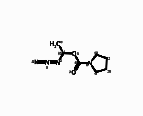 C[C@H](N=[N+]=[N-])OC(=O)N1CCCC1